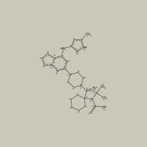 Cc1cc(Nc2nc(N3CCN(C(=O)C4(N(C(=O)O)C(C)(C)C)CCCCC4)CC3)nn3cccc23)n[nH]1